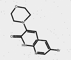 O=c1[nH]c2ncc(Br)cc2cc1N1CCOCC1